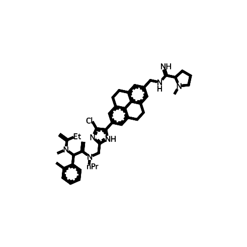 C=C(C(c1ccccc1C)N(C)C(=C)CC)N(CCC)Cc1nc(Cl)c(-c2cc3c4c(c2)CCc2cc(CNC(=N)C5CCCN5C)cc(c2-4)CC3)[nH]1